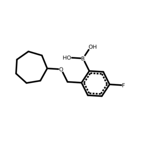 OB(O)c1cc(F)ccc1COC1CCCCCC1